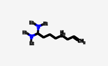 C=CC[SiH2]CCCC(N(CC)CC)N(CC)CC